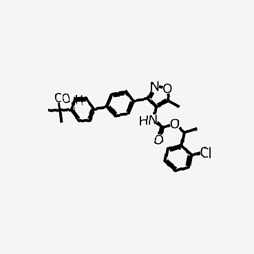 Cc1onc(-c2ccc(-c3ccc(C(C)(C)C(=O)O)cc3)cc2)c1NC(=O)OC(C)c1ccccc1Cl